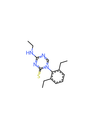 CCNc1ncn(-c2c(CC)cccc2CC)c(=S)n1